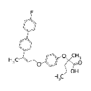 CCCC(C)(Oc1ccc(OCC=C(C)c2ccc(-c3ccc(F)cc3)cc2)cc1)C(=O)O